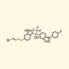 OC(c1ccc2c(cnn2-c2ccc(F)cc2)c1)(c1c[nH]c2cc(CCC=CBr)ccc12)C(F)(F)F